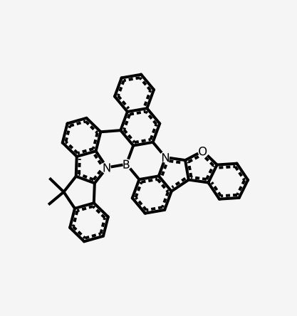 CC1(C)c2ccccc2-c2c1c1cccc3c1n2B1c2c(cc4ccccc4c2-3)-n2c3oc4ccccc4c3c3cccc1c32